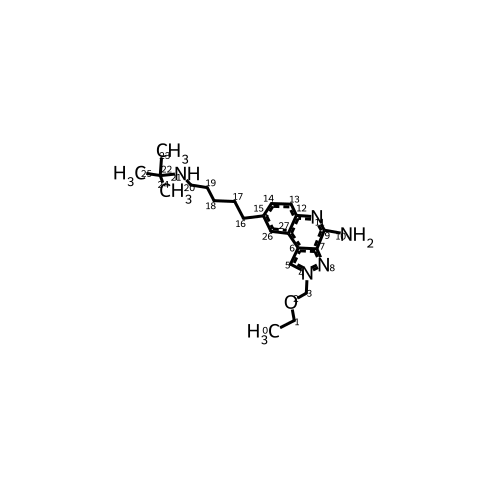 CCOCn1cc2c(n1)c(N)nc1ccc(CCCCCNC(C)(C)C)cc12